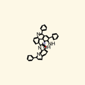 N=C1C(c2ccccc2)=Cc2c(-c3ccccc3)nc3cccc(-c4ccc5ccc6ccc(-c7ccccc7)nc6c5n4)c3c2/C1=N/O